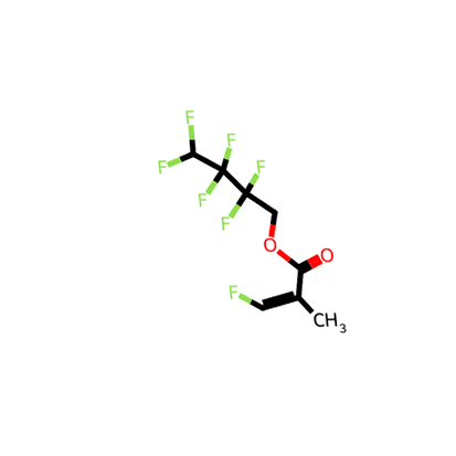 CC(=CF)C(=O)OCC(F)(F)C(F)(F)C(F)F